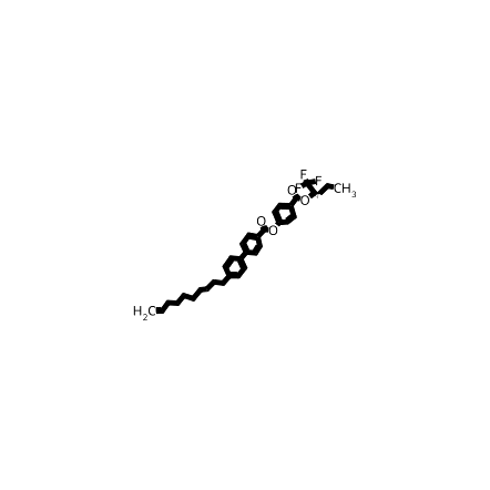 C=CCCCCCCCCc1ccc(-c2ccc(C(=O)Oc3ccc(C(=O)O[C@H](CCC)C(F)(F)F)cc3)cc2)cc1